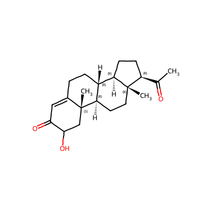 CC(=O)[C@@H]1CC[C@@H]2[C@H]3CCC4=CC(=O)C(O)C[C@@]4(C)[C@@H]3CC[C@]21C